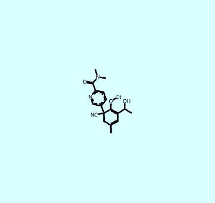 CCOC1=C(C(C)O)C=C(C)CC1(C#N)c1ccc(C(=O)N(C)C)nc1